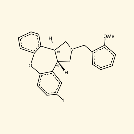 COc1ccccc1CN1C[C@@H]2c3ccccc3Oc3ccc(I)cc3[C@H]2C1